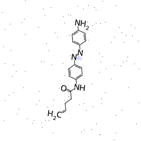 C=CCCC(=O)Nc1ccc(/N=N/c2ccc(N)cc2)cc1